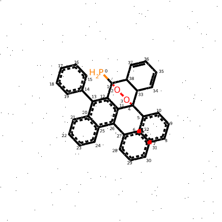 PC12OOC(c3ccccc3)(c3c1c(-c1ccccc1)c1ccccc1c3-c1ccccc1)C1C=CC=CC12